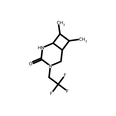 CC1C(C)C2NC(=O)N(CC(F)(F)F)CC12